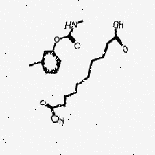 CNC(=O)Oc1cccc(C)c1.O=C(O)CCCCCCCCC(=O)O